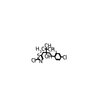 CC(C)(C)C(O)(CCc1ccc(Cl)cc1)Cc1cnc(Cl)s1